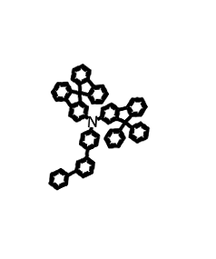 c1ccc(-c2cccc(-c3ccc(N(c4ccc5c(c4)C(c4ccccc4)(c4ccccc4)c4ccccc4-5)c4ccc5c(c4)C4(c6ccccc6-c6ccccc64)c4ccccc4-5)cc3)c2)cc1